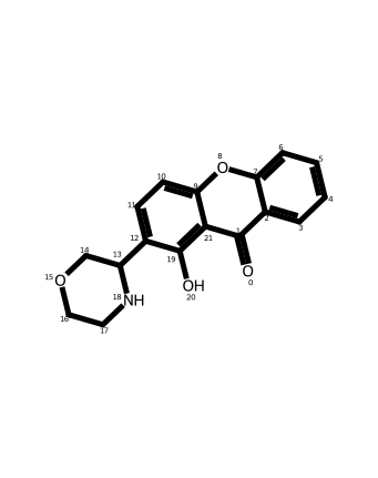 O=c1c2ccccc2oc2ccc(C3COCCN3)c(O)c12